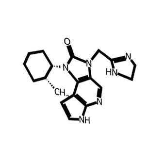 C[C@@H]1CCCC[C@@H]1n1c(=O)n(CC2=NCCN2)c2cnc3[nH]ccc3c21